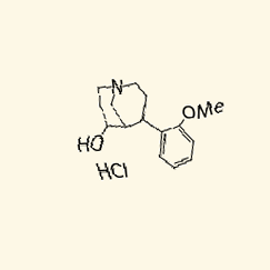 COc1ccccc1C1CCN2CCC(O)C1C2.Cl